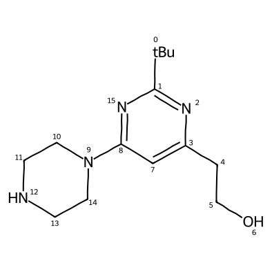 CC(C)(C)c1nc(CCO)cc(N2CCNCC2)n1